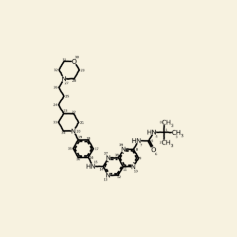 CC(C)(C)NC(=O)Nc1cnc2cnc(Nc3ccc(N4CCC(CCCN5CCOCC5)CC4)cc3)nc2n1